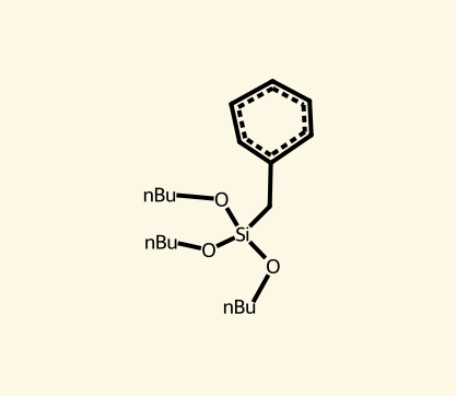 CCCCO[Si](Cc1ccccc1)(OCCCC)OCCCC